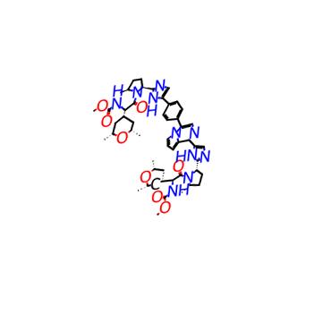 COC(=O)NC(C(=O)N1[C@@H](C)CC[C@H]1c1ncc(-c2ccc(-c3cnc(-c4cnc([C@@H]5CC[C@H](C)N5C(=O)[C@@H](NC(=O)OC)[C@H]5C[C@@H](C)O[C@@H](C)C5)[nH]4)c4cccn34)cc2)[nH]1)[C@H]1C[C@@H](C)O[C@@H](C)C1